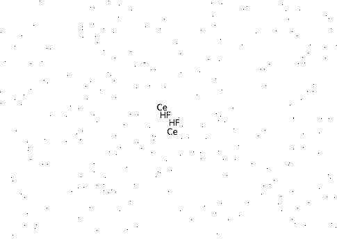 F.F.[Ce].[Ce]